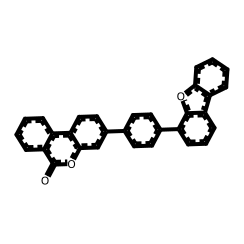 O=c1oc2cc(-c3ccc(-c4cccc5c4oc4ccccc45)cc3)ccc2c2ccccc12